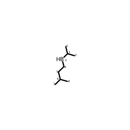 CC(C)BCCC(C)C